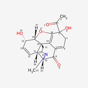 CC(=O)C1(O)CC=C2C(=O)[C@@H]3[C@@H]4C=C[C@H](O)[C@@H]5OC1=C2[C@]45CCN3C